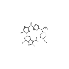 CCN1CCC([C@H](N)c2ccc(Nc3ncc(F)c(-c4cc(F)c5nc(C)n(C(C)C)c5c4)n3)nc2)CC1